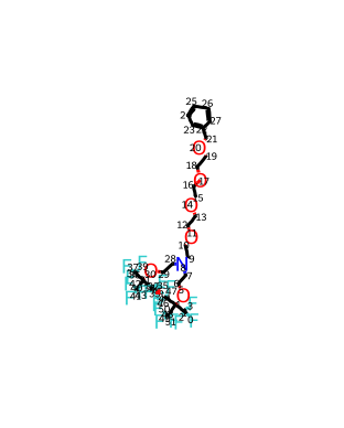 FC(F)(F)C(OCCN(CCOCCOCCOCCOCc1ccccc1)CCOC(C(F)(F)F)(C(F)(F)F)C(F)(F)F)(C(F)(F)F)C(F)(F)F